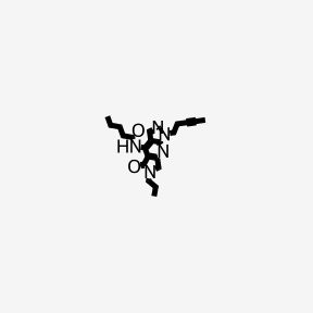 CC#CCCn1ncc2c(NC(=O)CCCC)c3c(nc21)CN(CCC)C3=O